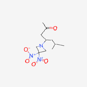 CC(=O)CC(CC(C)C)N1CC([N+](=O)[O-])([N+](=O)[O-])C1